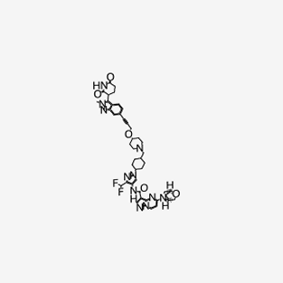 Cn1nc2cc(C#CCOC3CCN(CC4CCC(n5cc(NC(=O)c6cnn7ccc(N8C[C@H]9C[C@@H]8CO9)nc67)c(C(F)F)n5)CC4)CC3)ccc2c1C1CCC(=O)NC1=O